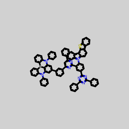 c1ccc(-c2cc(-c3cccc(-c4cc5c6c(c4)N(c4ccccc4)c4ccccc4B6c4ccccc4N5c4ccccc4)c3)nc(-c3cc(-c4nc(-c5ccccc5)nc(-c5ccccc5)n4)ccc3-n3c4ccccc4c4c5sc6ccccc6c5ccc43)n2)cc1